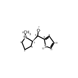 CN1CCC[C@@H]1C([O])c1cccs1